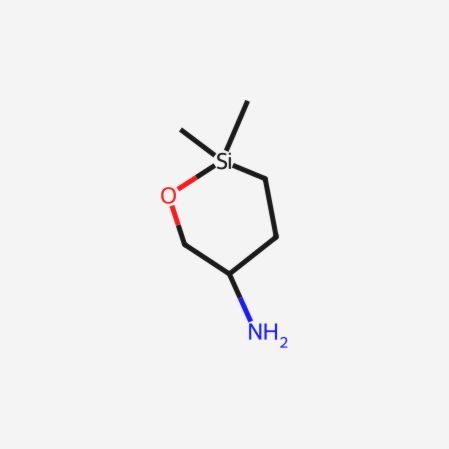 C[Si]1(C)CCC(N)CO1